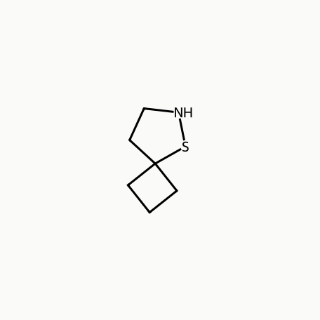 C1CC2(C1)CCNS2